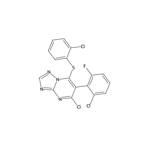 Fc1cccc(Cl)c1-c1c(Cl)nc2ncnn2c1Sc1ccccc1Cl